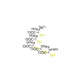 CCCCCCC(S)C(=O)[O-].CCCCCCC(S)C(=O)[O-].CCCCCCC(S)C(=O)[O-].CCCCCCC(S)C(=O)[O-].CCCCCCC(S)C(=O)[O-].[Sb+5]